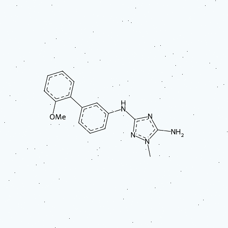 COc1ccccc1-c1cccc(Nc2nc(N)n(C)n2)c1